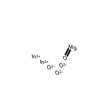 [In+3].[In+3].[O-2].[O-2].[O-2].[O]=[Mg]